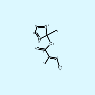 CCC=C(C)C(=O)OC1(C)N=CC=N1